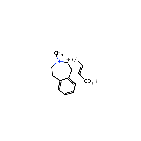 CN1CCc2ccccc2CC1.O=C(O)/C=C/C(=O)O